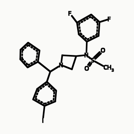 CS(=O)(=O)N(c1cc(F)cc(F)c1)C1CN(C(c2ccccc2)c2ccc(I)cc2)C1